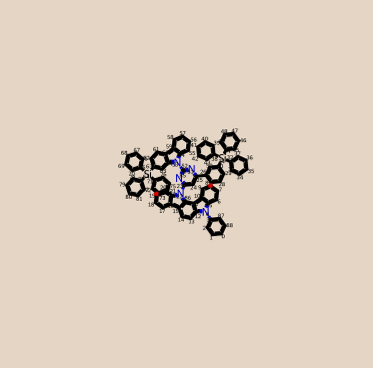 c1ccc(-n2c3ccccc3c3c2ccc2c4ccccc4n(-c4cc(-c5cccc([Si](c6ccccc6)(c6ccccc6)c6ccccc6)c5)nc(-n5c6ccccc6c6ccc([Si](c7ccccc7)(c7ccccc7)c7ccccc7)cc65)n4)c23)cc1